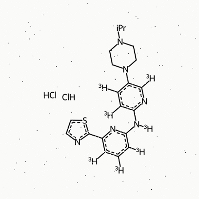 Cl.Cl.[3H]c1nc(N([3H])c2nc(-c3nccs3)c([3H])c([3H])c2[3H])c([3H])c([3H])c1N1CCN(C(C)C)CC1